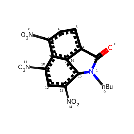 CCCCN1C(=O)c2ccc([N+](=O)[O-])c3c([N+](=O)[O-])cc([N+](=O)[O-])c1c23